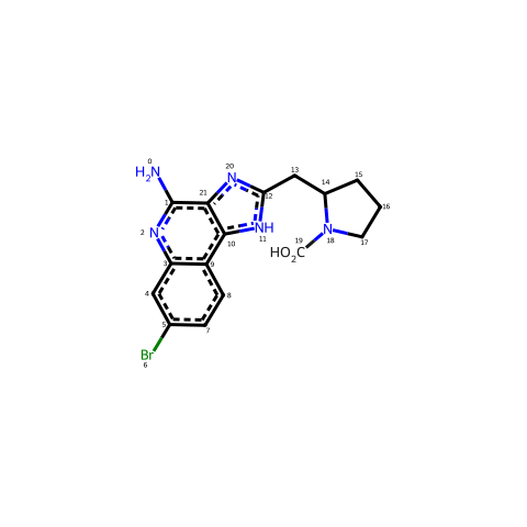 Nc1nc2cc(Br)ccc2c2[nH]c(CC3CCCN3C(=O)O)nc12